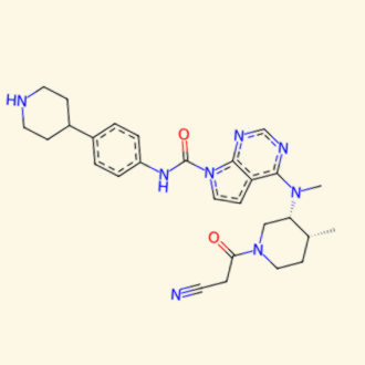 C[C@@H]1CCN(C(=O)CC#N)C[C@@H]1N(C)c1ncnc2c1ccn2C(=O)Nc1ccc(C2CCNCC2)cc1